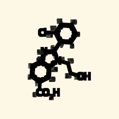 O=C(O)c1ccc2nc(-c3ccccc3Cl)n(CCO)c2c1